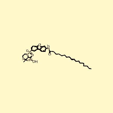 CCCCCCCCC=CCCCCCCCC(=O)Nc1ccc2c(c1)oc1ccc(S(=O)(=O)N3CCSC(C)(C)C3C(=O)NO)cc12